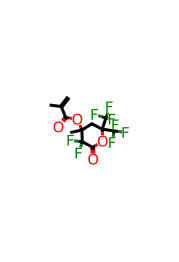 C=C(C)C(=O)OC1(C)CC(C(F)(F)F)(C(F)(F)F)OC(=O)C1(F)F